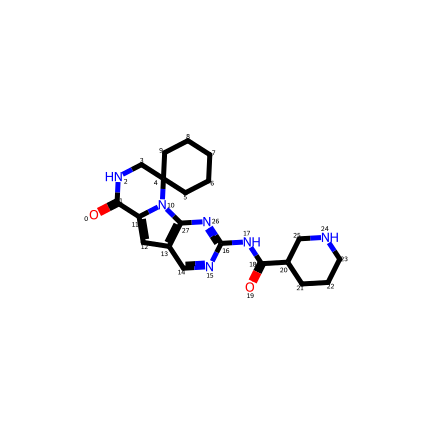 O=C1NCC2(CCCCC2)n2c1cc1cnc(NC(=O)C3CCCNC3)nc12